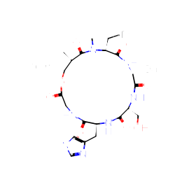 CCCCCCCCCC[C@H]1OC(=O)CNC(=O)[C@H](Cc2c[nH]cn2)NC(=O)[C@H](CO)NC(=O)[C@H]([C@@H](C)CC)NC(=O)[C@H](CC(C)C)N(C)C(=O)[C@@H]1C